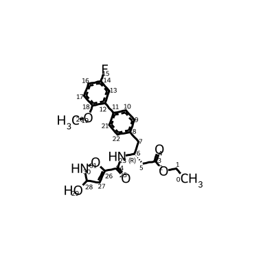 CCOC(=O)C[C@@H](Cc1ccc(-c2cc(F)ccc2OC)cc1)NC(=O)C1=CC(O)NO1